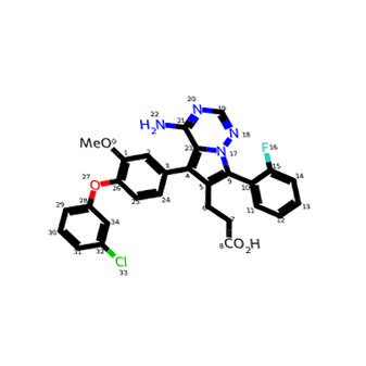 COc1cc(-c2c(CCC(=O)O)c(-c3ccccc3F)n3ncnc(N)c23)ccc1Oc1cccc(Cl)c1